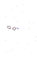 CCOC(=O)/C=C/c1ccc(Oc2ccc(C)cc2)cc1